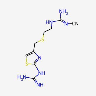 N#CN=C(N)NCCSCc1csc(NC(=N)N)n1